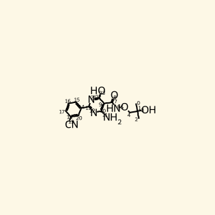 CC(C)(O)CONC(=O)c1c(N)nc(-c2cccc(C#N)c2)nc1O